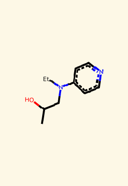 CCN(CC(C)O)c1ccncc1